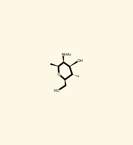 CC(=O)N[C@H]1[C@@H](O)[C@H](C)[C@@H](CO)O[C@H]1C